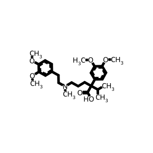 COc1ccc(CCN(C)CCCC(C(=O)O)(c2ccc(OC)c(OC)c2)C(C)C)cc1OC